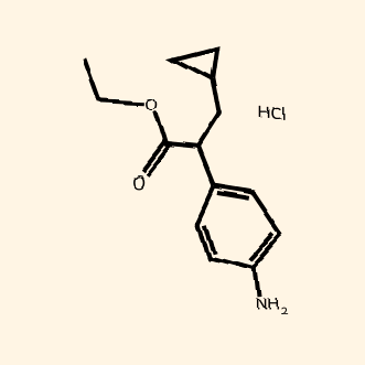 CCOC(=O)C(CC1CC1)c1ccc(N)cc1.Cl